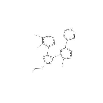 Nc1ncc(-c2cccnc2)cc1-c1nn(CCO)cc1-c1cccc(Cl)c1Cl